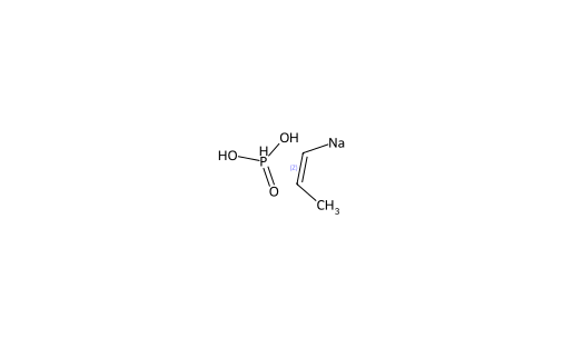 C/C=[CH]\[Na].O=[PH](O)O